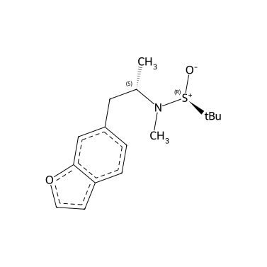 C[C@@H](Cc1ccc2ccoc2c1)N(C)[S@@+]([O-])C(C)(C)C